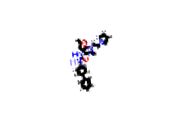 CCCC(CCC)(NC(=O)Nc1ccc(-c2ccccc2)cc1)C(=O)NCCN1CCCC1